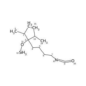 CC(C)C(CCCCN=C=O)(O[SiH3])C(C)C